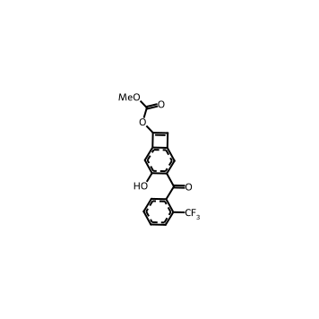 COC(=O)OC1=Cc2cc(C(=O)c3ccccc3C(F)(F)F)c(O)cc21